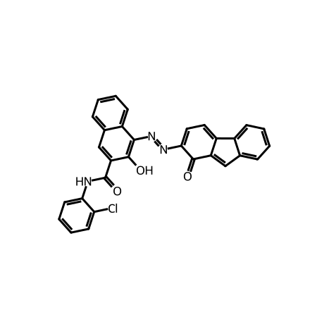 O=C1C(N=Nc2c(O)c(C(=O)Nc3ccccc3Cl)cc3ccccc23)=CC=C2C1=Cc1ccccc12